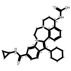 O=C(O)N[C@@H]1CCN2CCn3c(c(C4CCCCC4)c4ccc(C(=O)NC5CC5)cc43)-c3cccc1c32